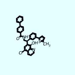 Cc1ccc(-c2cccc(C(CNC(=O)c3ccc(-c4ccccc4)cc3)c3cc(Cl)c4cccnc4c3O)c2)s1